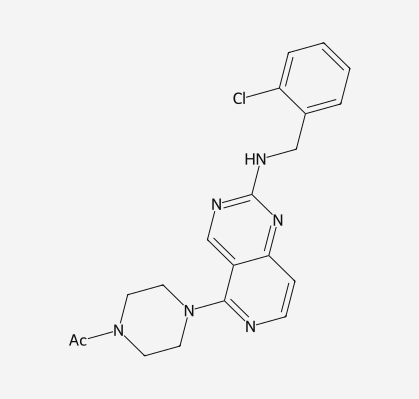 CC(=O)N1CCN(c2nccc3nc(NCc4ccccc4Cl)ncc23)CC1